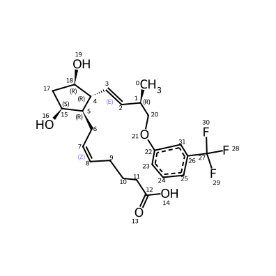 C[C@H](/C=C/[C@@H]1[C@@H](C/C=C\CCCC(=O)O)[C@@H](O)C[C@H]1O)COc1cccc(C(F)(F)F)c1